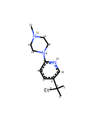 CCC(C)(C)c1ccc(N2CCN(C)CC2)nc1